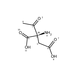 CC(=O)[C@](N)(CC(=O)O)C(=O)O